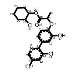 CC(Oc1ccc(-c2ncc(Cl)cc2Cl)cc1O)C(=O)OC1CCCCC1Cl